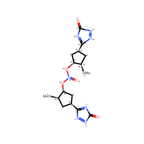 CO[C@@H]1C[C@H](C2=NC(=O)N=N2)C[C@@H]1O[N+](=O)O[C@H]1C[C@@H](C2=NC(=O)N=N2)C[C@H]1OC